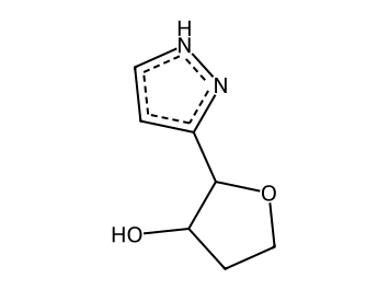 OC1CCOC1c1cc[nH]n1